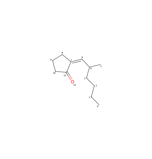 CCCCC(C)C=C1CCCC1=O